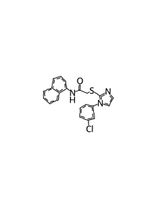 O=C(CSc1nccn1-c1cccc(Cl)c1)Nc1cccc2ccccc12